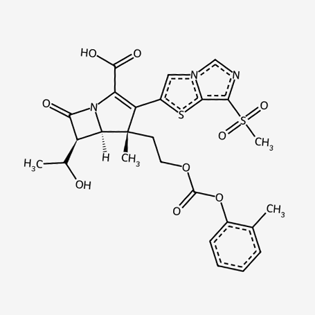 Cc1ccccc1OC(=O)OCC[C@@]1(C)C(c2cn3cnc(S(C)(=O)=O)c3s2)=C(C(=O)O)N2C(=O)[C@H](C(C)O)[C@@H]21